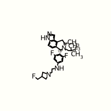 C[C@@H]1Cc2c(ccc3[nH]ncc23)[C@@H](c2c(F)cc(NCCN3CC(CF)C3)cc2F)N1CC(C)(C)F